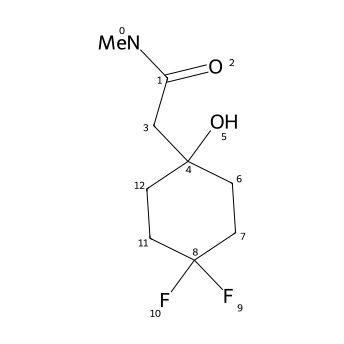 CNC(=O)CC1(O)CCC(F)(F)CC1